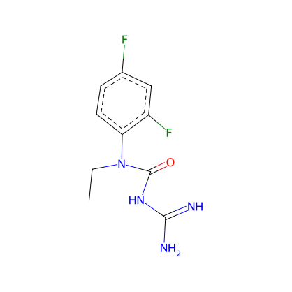 CCN(C(=O)NC(=N)N)c1ccc(F)cc1F